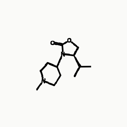 CC(C)[C@@H]1COC(=O)N1C1CCN(C)CC1